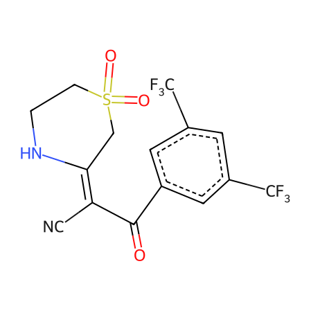 N#CC(C(=O)c1cc(C(F)(F)F)cc(C(F)(F)F)c1)=C1CS(=O)(=O)CCN1